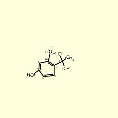 CC(C)(C)c1ccc(O)cc1O